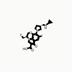 O=C(O)c1cn2c3c(c(N4CC[C@H](CNC5CC5)C4)c(F)cc3c1=O)OC[C@@H]2CF